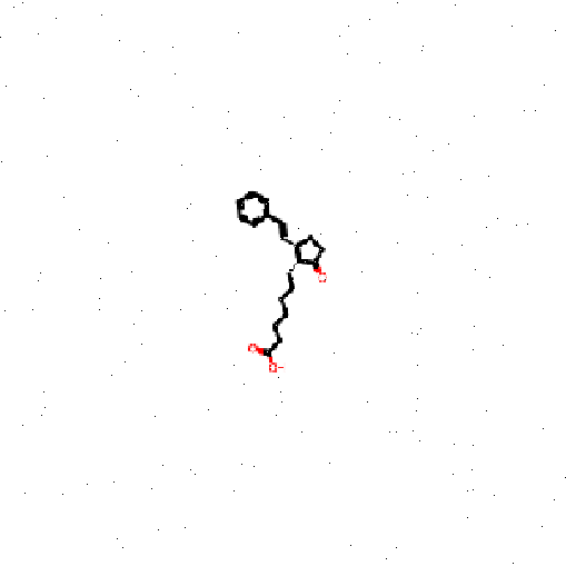 O=C(O)CCCCCC[C@H]1C(=O)CC[C@@H]1C=Cc1ccccc1